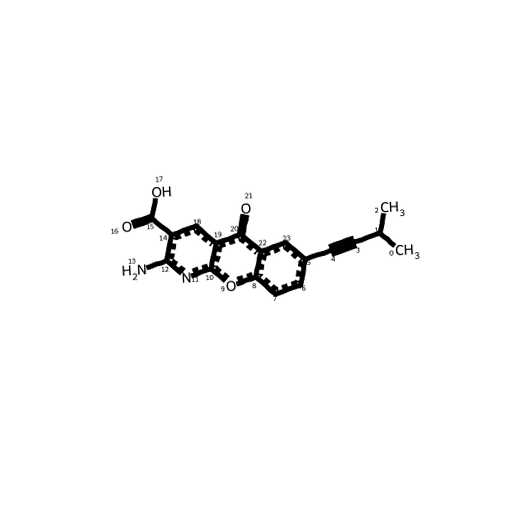 CC(C)C#Cc1ccc2oc3nc(N)c(C(=O)O)cc3c(=O)c2c1